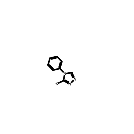 [S]c1nncn1-c1ccccc1